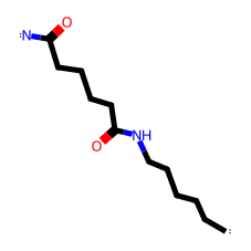 [CH]CCCCCNC(=O)CCCCC([N])=O